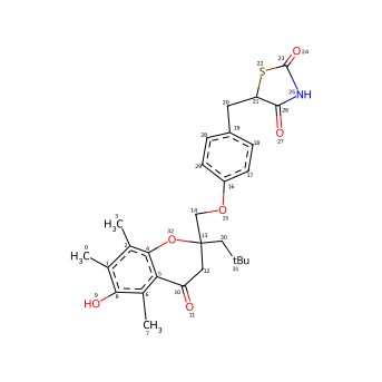 Cc1c(C)c2c(c(C)c1O)C(=O)CC(COc1ccc(CC3SC(=O)NC3=O)cc1)(CC(C)(C)C)O2